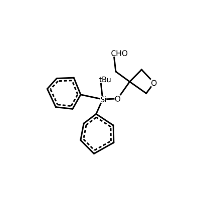 CC(C)(C)[Si](OC1(CC=O)COC1)(c1ccccc1)c1ccccc1